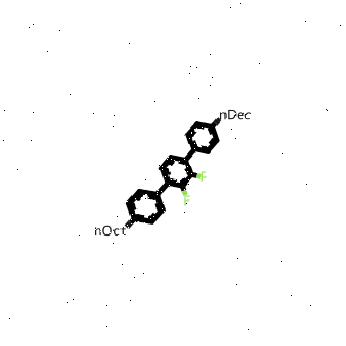 CCCCCCCCCCc1ccc(-c2ccc(-c3ccc(CCCCCCCC)cc3)c(F)c2F)cc1